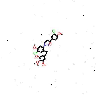 COc1ccc(C(=O)/C=C\Nc2cc(OC)c(Cl)cc2/C=C\c2cc(OC)c(OC)c(OC)c2)cc1Cl